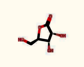 O=C1O[C@H](CO)[C@@H](O)[C@H]1O